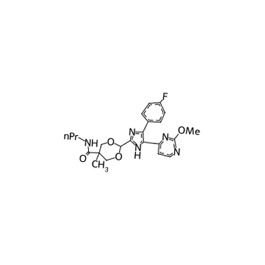 CCCNC(=O)C1(C)COC(c2nc(-c3ccc(F)cc3)c(-c3ccnc(OC)n3)[nH]2)OC1